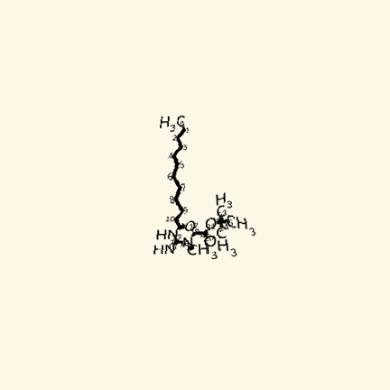 CCCCCCCCCCCC(=O)NC(=N)N(C)CC(=O)OC(C)(C)C